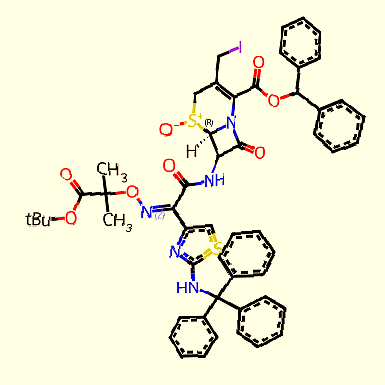 CC(C)(C)OC(=O)C(C)(C)O/N=C(\C(=O)NC1C(=O)N2C(C(=O)OC(c3ccccc3)c3ccccc3)=C(CI)C[S+]([O-])[C@H]12)c1csc(NC(c2ccccc2)(c2ccccc2)c2ccccc2)n1